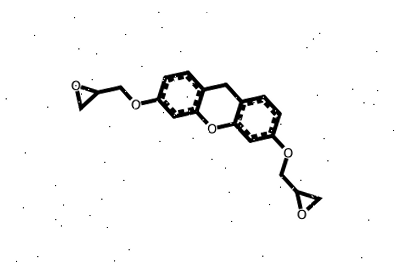 c1cc2c(cc1OCC1CO1)Oc1cc(OCC3CO3)ccc1C2